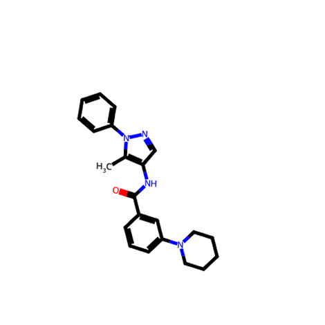 Cc1c(NC(=O)c2cccc(N3CCCCC3)c2)cnn1-c1ccccc1